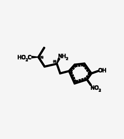 C[C@@H](C[C@@H](N)Cc1ccc(O)c([N+](=O)[O-])c1)C(=O)O